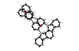 c1ccc2cc(-c3ccc(-n4c5ccccc5c5ccc6c7ccccc7n(-c7ccc(-c8ccc9ccccc9c8)cc7)c6c54)cc3)ccc2c1